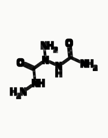 NNC(=O)N(N)NC(N)=O